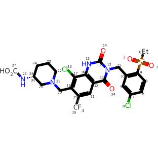 CCS(=O)(=O)c1ccc(Cl)cc1Cn1c(=O)[nH]c2c(Cl)c(CN3CCC[C@@H](NC(=O)O)C3)c(C(F)(F)F)cc2c1=O